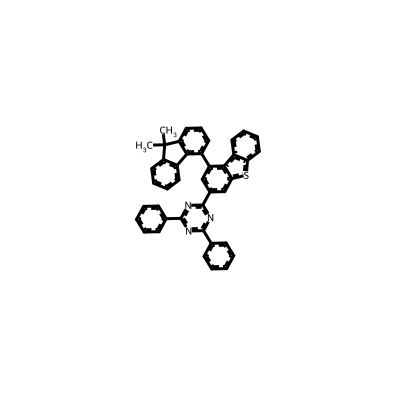 CC1(C)c2ccccc2-c2c(-c3cc(-c4nc(-c5ccccc5)nc(-c5ccccc5)n4)cc4sc5ccccc5c34)cccc21